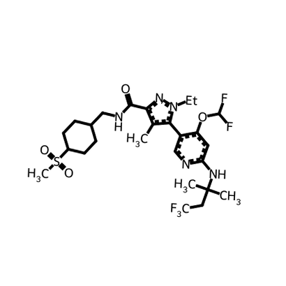 CCn1nc(C(=O)NCC2CCC(S(C)(=O)=O)CC2)c(C)c1-c1cnc(NC(C)(C)CC(F)(F)F)cc1OC(F)F